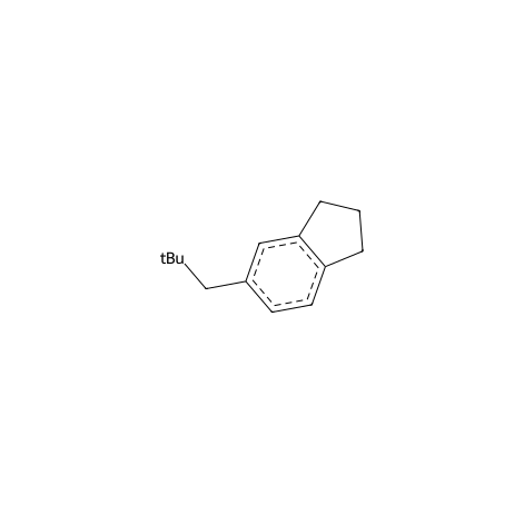 CC(C)(C)Cc1ccc2c(c1)CCC2